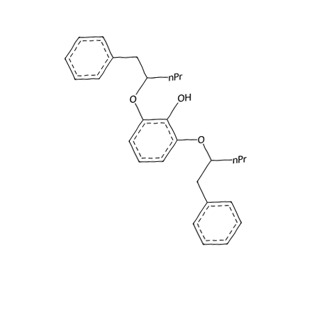 CCCC(Cc1ccccc1)Oc1cccc(OC(CCC)Cc2ccccc2)c1O